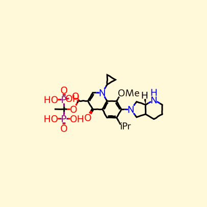 COc1c(N2CC3CCCN[C@H]3C2)c(C(C)C)cc2c(=O)c(C(=O)OC(C)(P(=O)(O)O)P(=O)(O)O)cn(C3CC3)c12